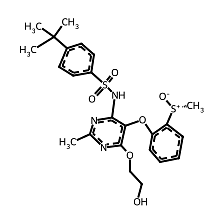 Cc1nc(NS(=O)(=O)c2ccc(C(C)(C)C)cc2)c(Oc2ccccc2[S@@+](C)[O-])c(OCCO)n1